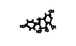 O=C1c2c(O)cc(O)cc2N=C(c2ccc(O)cc2)C1O